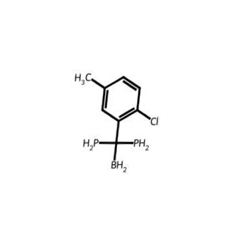 BC(P)(P)c1cc(C)ccc1Cl